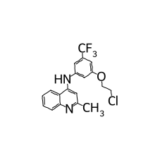 Cc1cc(Nc2cc(OCCCl)cc(C(F)(F)F)c2)c2ccccc2n1